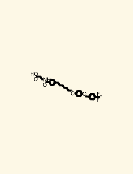 O=C(O)CCNC(=O)c1ccc(CCCCCCCOc2ccc(OCc3ccc(C(F)(F)F)cc3)cc2)cc1